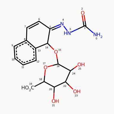 NC(=O)NN=C1C=Cc2ccccc2C1OC1OC(C(=O)O)C(O)C(O)C1O